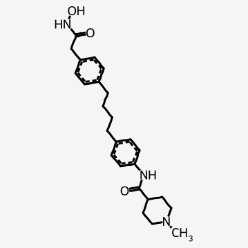 CN1CCC(C(=O)Nc2ccc(CCCCc3ccc(CC(=O)NO)cc3)cc2)CC1